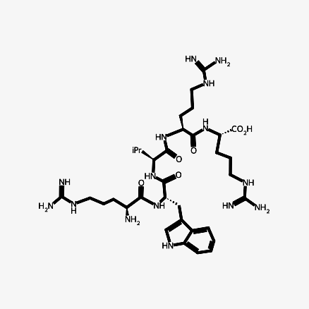 CC(C)[C@H](NC(=O)[C@H](Cc1c[nH]c2ccccc12)NC(=O)[C@@H](N)CCCNC(=N)N)C(=O)N[C@@H](CCCNC(=N)N)C(=O)N[C@@H](CCCNC(=N)N)C(=O)O